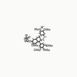 COc1cc2c(cc1OC)-c1cc3cc(OC)c(OC)cc3c(-c3cc(OC)c(OC)c(OC)c3)[n+]1CC2.O=S(=O)([O-])[O-].[H+]